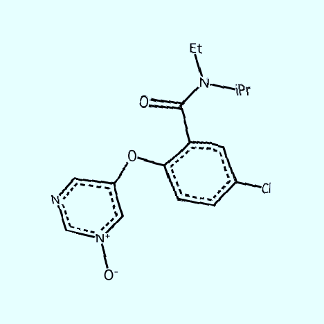 CCN(C(=O)c1cc(Cl)ccc1Oc1cnc[n+]([O-])c1)C(C)C